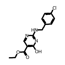 CCOC(=O)c1cnc(NCc2ccc(Cl)cc2)nc1O